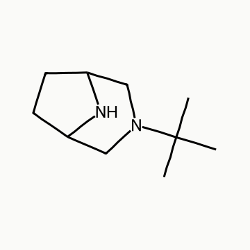 CC(C)(C)N1CC2CCC(C1)N2